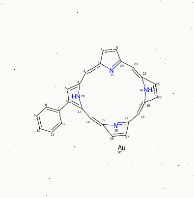 C1=Cc2cc3cc(-c4ccccc4)c(cc4nc(cc5ccc(cc1n2)[nH]5)C=C4)[nH]3.[Au]